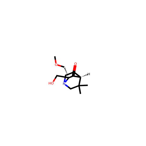 COC[C@]1(CO)C(=O)[C@H]2CCN1CC2(C)C